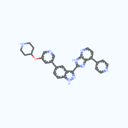 c1cc(-c2ccnc3[nH]c(-c4n[nH]c5ccc(-c6cncc(OC7CCNCC7)c6)cc45)nc23)ccn1